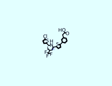 O=C(O)Cc1cccc(-c2ccc(/C(=C/C(I)C(F)(F)F)NCc3ccc(Cl)s3)s2)c1